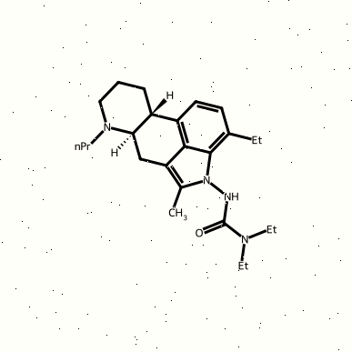 CCCN1CCC[C@@H]2c3ccc(CC)c4c3c(c(C)n4NC(=O)N(CC)CC)C[C@H]21